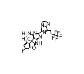 CC1(c2ccc(I)cc2)C(=O)Nc2nc(-c3cn4ccnc4c(CCC(F)(F)C(F)(F)F)n3)nc(N)c21